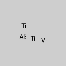 [Al].[Ti].[Ti].[V]